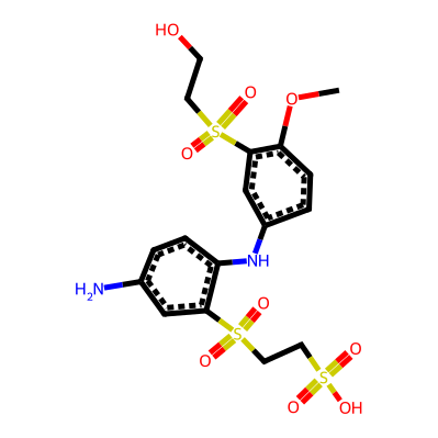 COc1ccc(Nc2ccc(N)cc2S(=O)(=O)CCS(=O)(=O)O)cc1S(=O)(=O)CCO